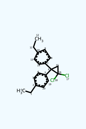 CCc1ccc(C2(c3ccc(CC)cc3)CC2(Cl)Cl)cc1